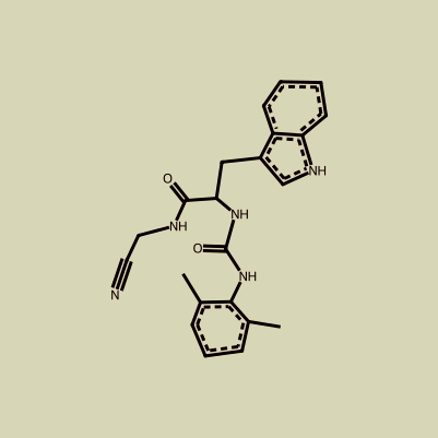 Cc1cccc(C)c1NC(=O)NC(Cc1c[nH]c2ccccc12)C(=O)NCC#N